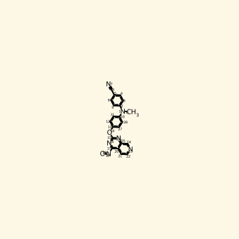 CN(c1ccc(C#N)cc1)c1ccc(Oc2nc(N=O)c3ccncc3n2)cc1